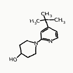 CC(C)(C)c1ccnc(N2CCC(O)CC2)c1